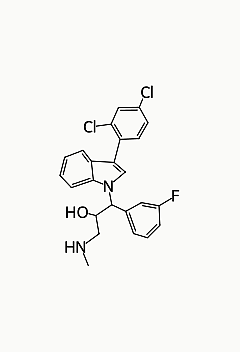 CNCC(O)C(c1cccc(F)c1)n1cc(-c2ccc(Cl)cc2Cl)c2ccccc21